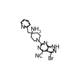 N#Cc1nc(N2CCC(N)(Cc3ccccn3)CC2)nc2[nH]nc(Br)c12